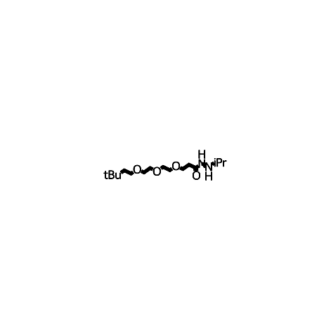 CC(C)NNC(=O)CCOCCOCCOCCC(C)(C)C